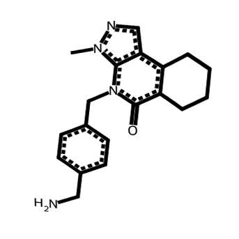 Cn1ncc2c3c(c(=O)n(Cc4ccc(CN)cc4)c21)CCCC3